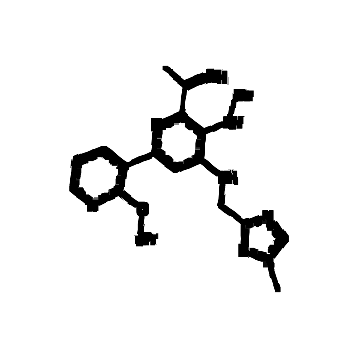 CCCOc1ncccc1-c1cc(NCc2ncn(C)n2)c(NC(C)CC)c(C(C)=N)n1